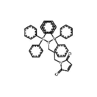 O=C1C=CC(=O)N1CCCN([Si](c1ccccc1)(c1ccccc1)c1ccccc1)[Si](c1ccccc1)(c1ccccc1)c1ccccc1